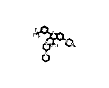 CN1CCN(c2ccc3nc(-c4cccc(C(F)(F)F)c4)c(CN4CCC(N5CCCCC5)CC4)c(C(=O)O)c3c2)CC1